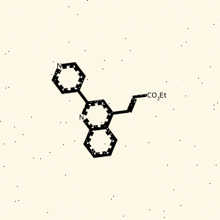 CCOC(=O)C=Cc1cc(-c2ccncc2)nc2ccccc12